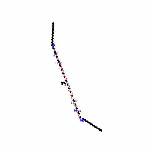 CCCCCCCCCCCCCCCCc1cn(CCOCCC(=O)NCCOCCNC(=O)CCOCCOCCOCCOCCN(CCOCCOCCOCCOCCC(=O)NCCOCCNC(=O)CCOCCn2cc(CCCCCCCCCCCCCCCC)nn2)C(=O)CC(C)C)nn1